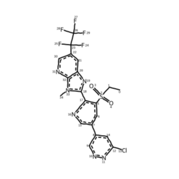 CCS(=O)(=O)c1cc(-c2cnnc(Cl)c2)cnc1-c1nc2cc(C(F)(F)C(F)(F)F)cnc2n1C